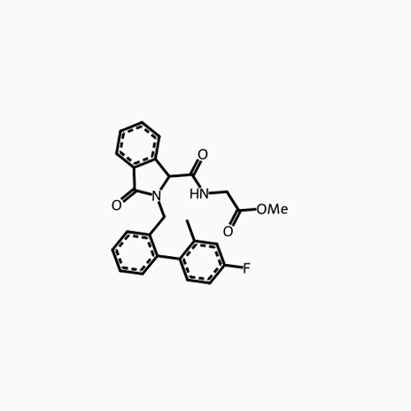 COC(=O)CNC(=O)C1c2ccccc2C(=O)N1Cc1ccccc1-c1ccc(F)cc1C